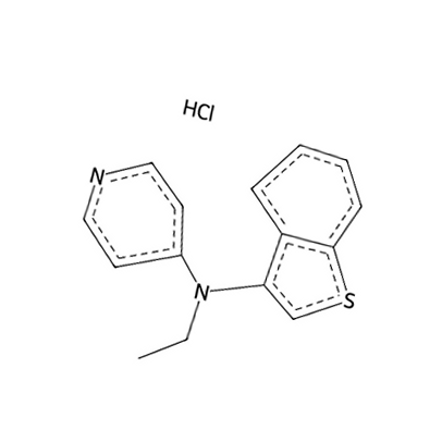 CCN(c1ccncc1)c1csc2ccccc12.Cl